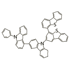 C1=Cc2c(n(-c3cc(-c4cccc5c4sc4ccccc45)c4sc5ccccc5c4c3)c3ccc(-c4cccc5c4c4ccccc4n5-c4ccccc4)cc23)CC1